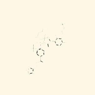 CC1CC(C)CC2(C1)N=C(c1ccc(Cl)c(OCCC(C)(C)C)c1Cl)C(=O)N2[C@H](CCC(C)(C)C)c1ccc(C(=O)NCc2nn[nH]n2)cc1